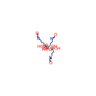 O=C=NCCC[Si](O)(O)O[Si](O)(CCCN=C=O)O[Si](O)(O)CCCN=C=O